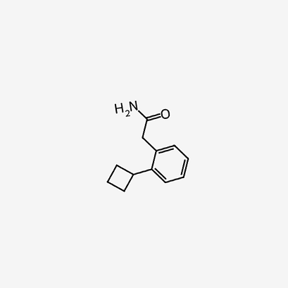 NC(=O)Cc1ccccc1C1CCC1